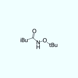 CCC(C)C(=O)NOC(C)(C)C